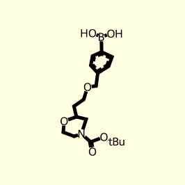 CC(C)(C)OC(=O)N1CCOC(CCOCc2ccc(B(O)O)cc2)C1